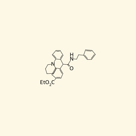 CCOC(=O)c1ccc(C(C(=O)NCCc2ccccc2)c2ccccc2N2CCCCC2)cc1